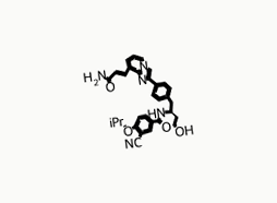 CC(C)Oc1ccc(C(=O)N[C@H](CCO)Cc2ccc(-c3cn4cccc(/C=C/C(N)=O)c4n3)cc2)cc1C#N